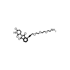 NCCOCCOCCOCC#Cc1cccc2c1C(=O)N(C1CCC(=O)NC1=O)C2=O